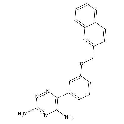 Nc1nnc(-c2cccc(OCc3ccc4ccccc4c3)c2)c(N)n1